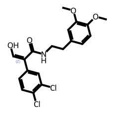 COc1ccc(CCNC(=O)/C(=C\O)c2ccc(Cl)c(Cl)c2)cc1OC